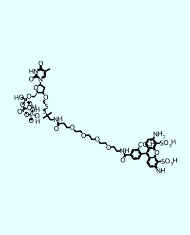 Cc1cn([C@H]2CC(OCSSC(C)(C)CNC(=O)CCOCCOCCOCCOCCNC(=O)c3ccc(-c4c5ccc(=N)c(S(=O)(=O)O)c-5oc5c(S(=O)(=O)O)c(N)ccc45)c(C(=O)O)c3)[C@@H](COP(=O)(O)OP(=O)(O)OP(=O)(O)O)O2)c(=O)[nH]c1=O